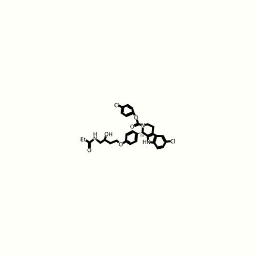 CCC(=O)NCC(O)CCOc1ccc([C@H]2c3[nH]c4ccc(Cl)cc4c3CCN2C(=O)Oc2ccc(Cl)cc2)cc1